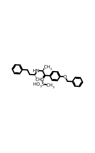 CS(=O)(=O)O.C[C@H](CCc1ccccc1)N[C@@H](C)C(=O)c1ccc(OCc2ccccc2)cc1